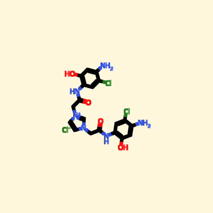 Nc1cc(O)c(NC(=O)Cn2cc[n+](CC(=O)Nc3cc(Cl)c(N)cc3O)c2)cc1Cl.[Cl-]